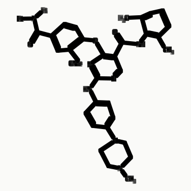 CCN(CC)C(=O)c1ccc(Oc2nc(Nc3ccc(N4CCN(C)CC4)cc3)ncc2C(=O)Nc2c(C)cccc2C)c(OC)c1